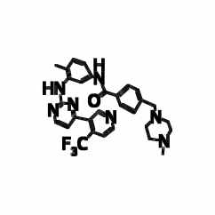 Cc1ccc(NC(=O)c2ccc(CN3CCN(C)CC3)cc2)cc1Nc1nccc(-c2cnccc2C(F)(F)F)n1